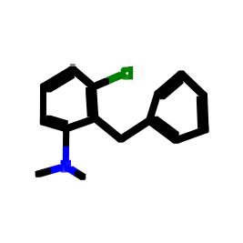 CN(C)c1cc[c]c(Cl)c1Cc1ccccc1